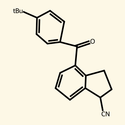 CC(C)(C)c1ccc(C(=O)c2cccc3c2CCC3C#N)cc1